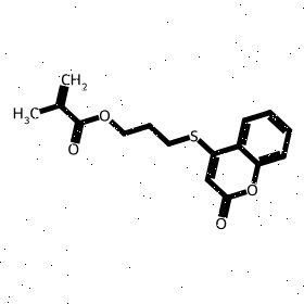 C=C(C)C(=O)OCCCSc1cc(=O)oc2ccccc12